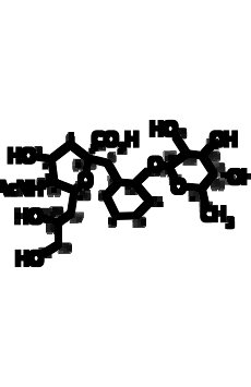 CC(=O)N[C@@H]1C(O)C[C@](CC2CCCCC2O[C@@H]2OC(C)[C@@H](O)C(O)C2O)(C(=O)O)OC1C[C@H](O)CO